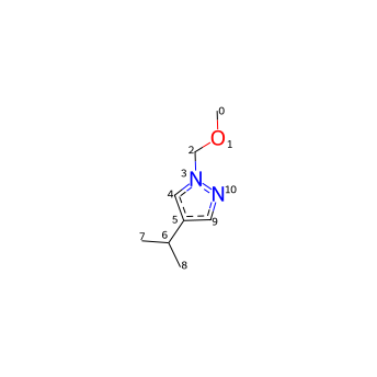 COCn1cc(C(C)C)cn1